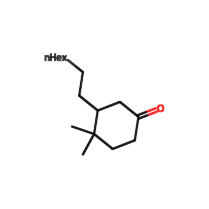 CCCCCCCCC1CC(=O)CCC1(C)C